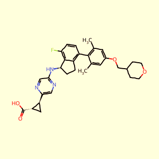 Cc1cc(OCC2CCOCC2)cc(C)c1-c1ccc(F)c2c1CC[C@H]2Nc1cnc([C@H]2C[C@@H]2C(=O)O)cn1